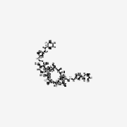 CO[C@]1(C)C[C@@H](C)C(=O)[C@H](C)[C@H]2N(CCCCn3cnc(-c4cccnc4)c3)C(=O)O[C@]2(C)[C@@H](I)OC(=O)[C@H](C)C(=O)[C@H](C)[C@H]1O[C@@H]1O[C@H](C)C[C@H](N(C)CCc2cn(CCc3ccccn3)nn2)[C@H]1O